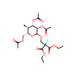 CCOC(=O)C(F)(COC1O[C@H](COC(C)=O)[C@@H](C)[C@H](OC(C)=O)[C@H]1OC(C)=O)C(=O)OCC